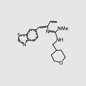 C=CC(=C/c1ccc2ncsc2c1)/N=C(\NC)NCC1CCOCC1